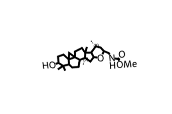 COC(=O)NCC1C[C@@H](C)C2C(C[C@@]3(C)C4CCC5C(C)(C)C(O)CCC56CC46CCC23C)O1